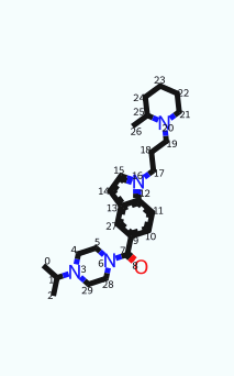 CC(C)N1CCN(C(=O)c2ccc3c(ccn3CCCN3CCCCC3C)c2)CC1